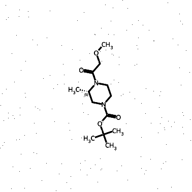 COCC(=O)N1CCN(C(=O)OC(C)(C)C)C[C@@H]1C